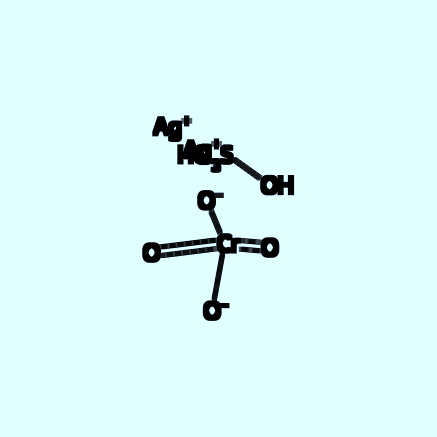 O=S(=O)(O)O.[Ag+].[Ag+].[O]=[Cr](=[O])([O-])[O-]